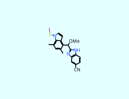 COC(c1nc2cc(C#N)ccc2[nH]1)c1c(C)cc(C)c2c1ccn2SI